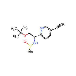 C#Cc1ccc([C@H](CO[Si](C)(C)C(C)(C)C)N[S+]([O-])C(C)(C)C)nc1